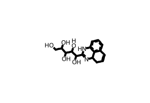 OCC(O)C(O)C(O)C(O)C1=NC2CC=Cc3cccc(c32)N1